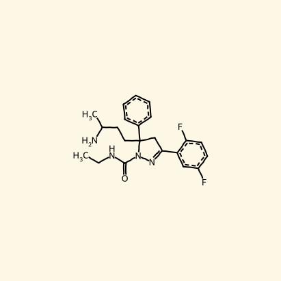 CCNC(=O)N1N=C(c2cc(F)ccc2F)CC1(CCC(C)N)c1ccccc1